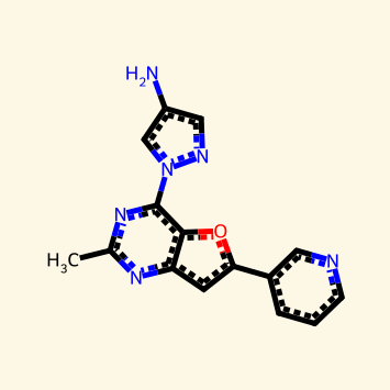 Cc1nc(-n2cc(N)cn2)c2oc(-c3cccnc3)cc2n1